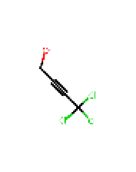 [O]CC#CC(Cl)(Cl)Cl